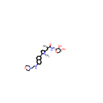 Cn1c(/C=C(\C#N)C(=O)NC[C@H]2OCC[C@@H](O)[C@@H]2O)ccc1-c1ccc2cc(NCCN3CCOCC3)ccc2c1